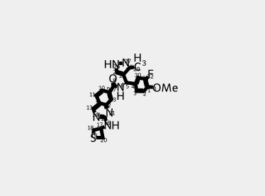 COc1ccc([C@H](NC(=O)c2ccc3cnc(NC4CSC4)nc3c2)c2c[nH]nc2C)cc1F